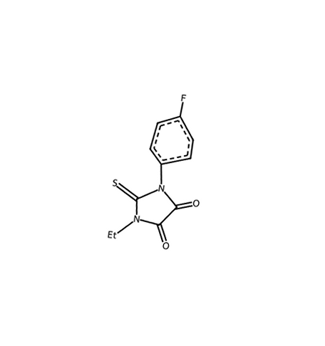 CCN1C(=O)C(=O)N(c2ccc(F)cc2)C1=S